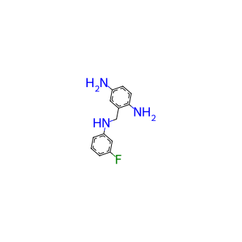 Nc1ccc(N)c(CNc2cccc(F)c2)c1